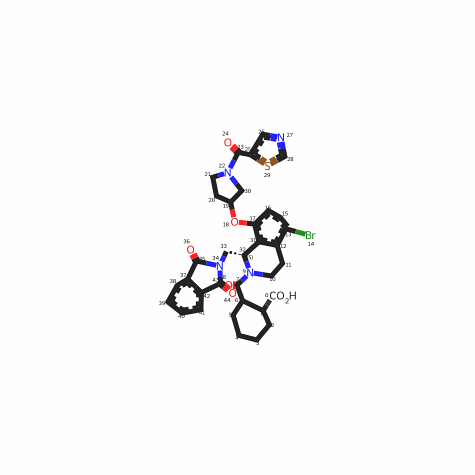 O=C(O)C1CCCCC1C(=O)N1CCc2c(Br)ccc(OC3CCN(C(=O)c4cncs4)C3)c2[C@H]1CN1C(=O)c2ccccc2C1=O